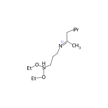 CCO[SiH](CCC/N=C(\C)CC(C)C)OCC